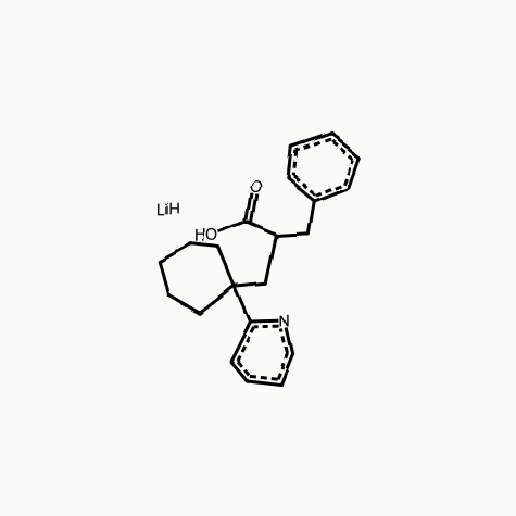 O=C(O)C(Cc1ccccc1)CC1(c2ccccn2)CCCCC1.[LiH]